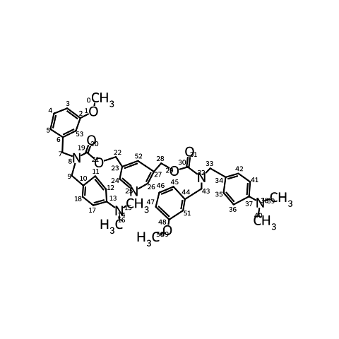 COc1cccc(CN(Cc2ccc(N(C)C)cc2)C(=O)OCc2cncc(COC(=O)N(Cc3ccc(N(C)C)cc3)Cc3cccc(OC)c3)c2)c1